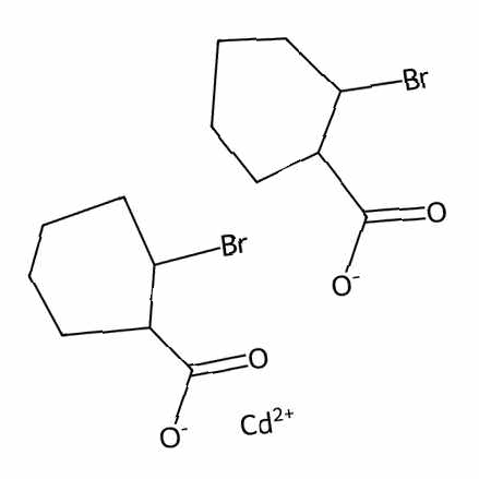 O=C([O-])C1CCCCC1Br.O=C([O-])C1CCCCC1Br.[Cd+2]